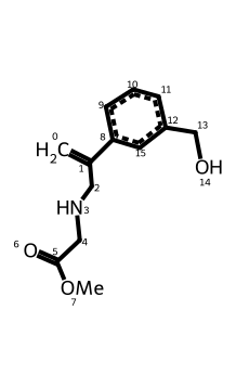 C=C(CNCC(=O)OC)c1cccc(CO)c1